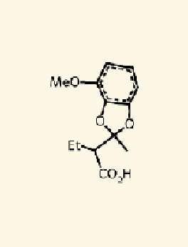 CCC(C(=O)O)C1(C)Oc2cccc(OC)c2O1